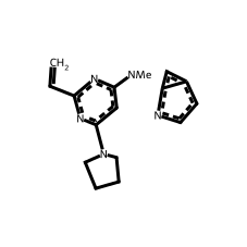 C=Cc1nc(NC)cc(N2CCCC2)n1.c1cc2cc-2n1